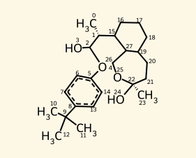 C[C@@H](C(O)Oc1ccc(C(C)(C)C)cc1)C1CCCC2CC[C@@](C)(O)OCC21